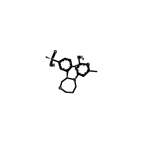 Cc1cc(N2CCCOC[C@H]2c2cc([S@@](C)(=N)=O)ccc2Cl)nc(N)n1